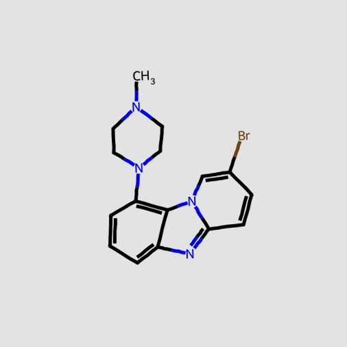 CN1CCN(c2cccc3nc4ccc(Br)cn4c23)CC1